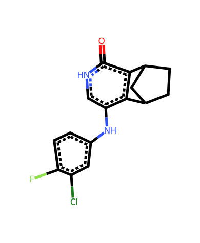 O=c1[nH]cc(Nc2ccc(F)c(Cl)c2)c2c1C1CCC2C1